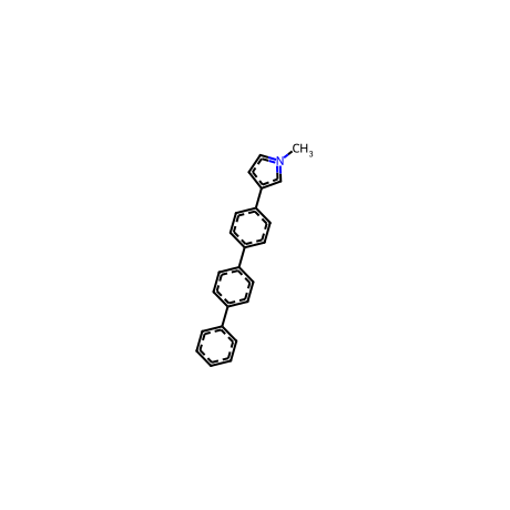 Cn1ccc(-c2ccc(-c3ccc(-c4ccccc4)cc3)cc2)c1